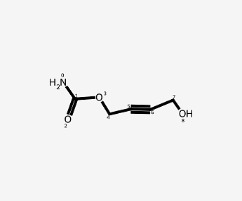 NC(=O)OCC#CCO